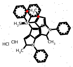 CC1=[C]([Zr](=[SiH2])([C]2=C(C)C=C3C2=CC(C)N3c2ccccc2)([c]2ccccc2)[c]2ccccc2)C2=CC(C)N(c3ccccc3)C2=C1.Cl.Cl